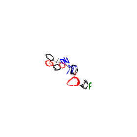 CC1(c2nnc(C[N+]34CCC(CC3)C(Oc3ccc(F)cc3)C4)o2)c2ccccc2Oc2ccccc21